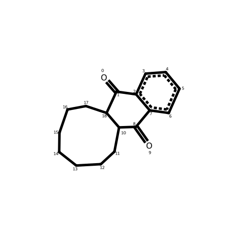 O=C1c2ccccc2C(=O)C2CCCCCCCC12